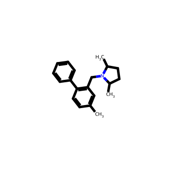 Cc1ccc(-c2ccccc2)c(CN2C(C)CCC2C)c1